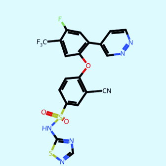 N#Cc1cc(S(=O)(=O)Nc2ncns2)ccc1Oc1cc(C(F)(F)F)c(F)cc1-c1ccnnc1